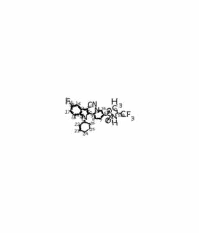 C[C@H](NS(=O)(=O)c1ccc(-c2c(C#N)c3cc(F)ccc3n2C2C=CCCC2)nc1)C(F)(F)F